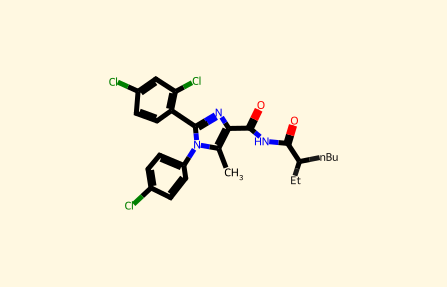 CCCCC(CC)C(=O)NC(=O)c1nc(-c2ccc(Cl)cc2Cl)n(-c2ccc(Cl)cc2)c1C